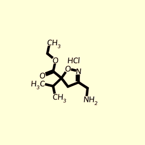 CCOC(=O)C1(C(C)C)CC(CN)=NO1.Cl